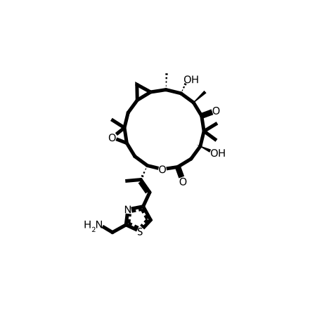 C/C(=C\c1csc(CN)n1)[C@@H]1CC2OC2(C)CC2CC2[C@H](C)[C@H](O)[C@@H](C)C(=O)C(C)(C)[C@@H](O)CC(=O)O1